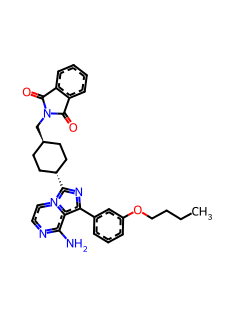 CCCCOc1cccc(-c2nc([C@H]3CC[C@H](CN4C(=O)c5ccccc5C4=O)CC3)n3ccnc(N)c23)c1